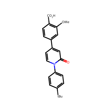 COc1cc(-c2ccn(-c3ccc(C(C)(C)C)cc3)c(=O)c2)ccc1C(=O)O